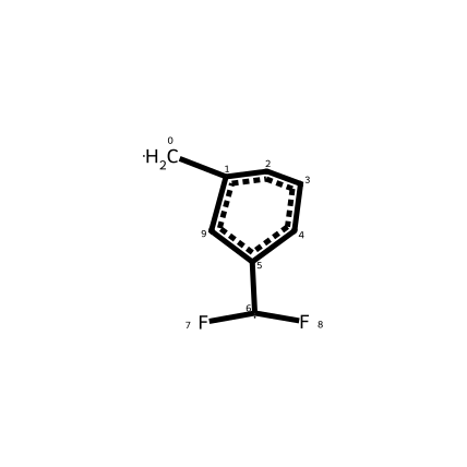 [CH2]c1cccc([C](F)F)c1